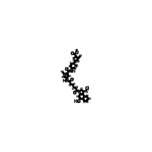 COC(=O)c1sc(-c2ccc(NC(=O)c3cc(NC(=O)CCCCC(=O)N4C[C@@H](CCl)c5c4cc(O)c4ccccc54)cn3C)cn2)cc1C